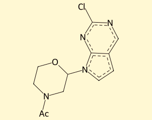 CC(=O)N1CCOC(n2ccc3cnc(Cl)nc32)C1